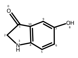 O=C1CNc2ccc(O)cc21